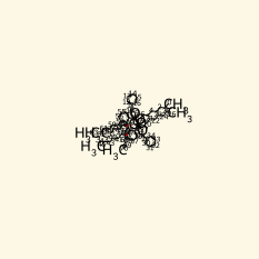 CCCCCCCOC(OCc1ccccc1)(OC(OCCCCCCC)(OCc1ccccc1)c1cccc(CCCCCC)c1CCCCCC)c1cccc(CCCCCC)c1CCCCCC